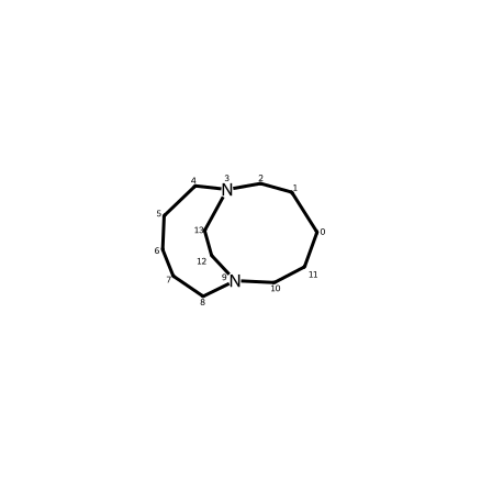 C1CCN2CCCCCN(CC1)CC2